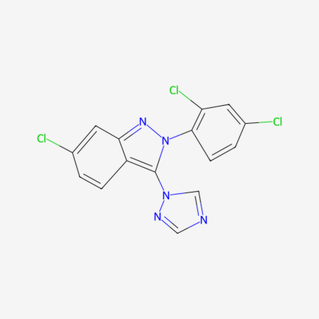 Clc1ccc(-n2nc3cc(Cl)ccc3c2-n2cncn2)c(Cl)c1